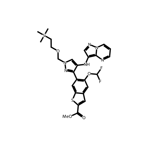 COC(=O)c1cc2cc(OC(F)F)c(-c3nn(COCC[Si](C)(C)C)cc3Nc3cnn4cccnc34)cc2s1